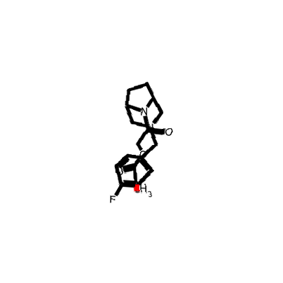 CC(=O)OCC(=O)N1C2CCC1CN(Cc1ccc(F)cc1)C2